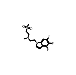 CN(CCn1ccc2c(F)c(F)c(F)cc21)CCS(C)(=O)=O